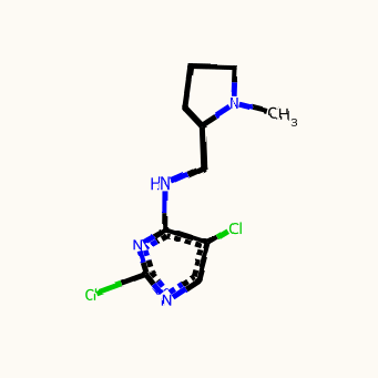 CN1CCCC1CNc1nc(Cl)ncc1Cl